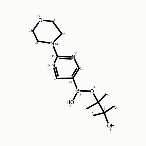 CC(C)(O)C(C)(C)OB(O)c1cnc(N2CCOCC2)nc1